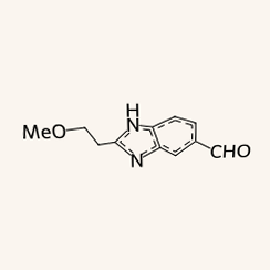 COCCc1nc2cc(C=O)ccc2[nH]1